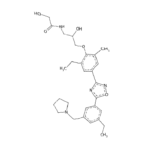 CCc1cc(CN2CCCC2)cc(-c2nc(-c3cc(C)c(OCC(O)CNC(=O)CO)c(CC)c3)no2)c1